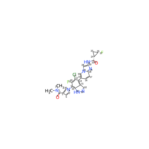 CN(C)C(=O)c1ccn(-c2c(F)c(Cl)c(-c3ccc4nc(NC(=O)[C@@H]5C[C@@H]5F)cn4c3)c3cn[nH]c23)c1